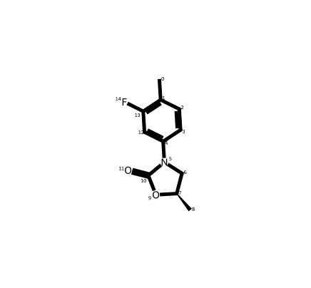 Cc1ccc(N2C[C@@H](C)OC2=O)cc1F